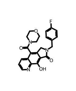 O=C1c2c(c(C(=O)N3CCOCC3)c3cccnc3c2O)CN1Cc1ccc(F)cc1